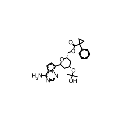 CC(C)(O)O[C@H]1CC(c2ccc3c(N)ncnn23)O[C@H](COC(=O)C2(c3ccccc3)CC2)C1